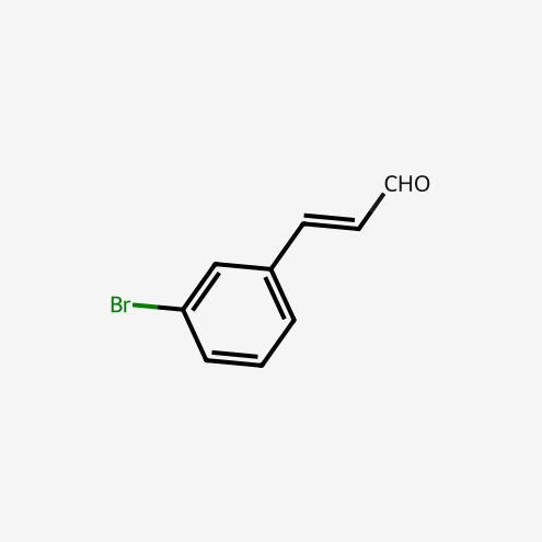 O=CC=Cc1cccc(Br)c1